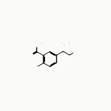 COC(=O)c1cc([C@H](N)CO)ccc1Cl